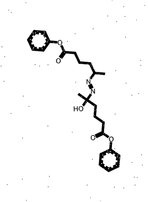 CC(CCCC(=O)Oc1ccccc1)/N=N/C(C)(O)CCCC(=O)Oc1ccccc1